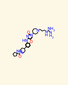 NC(N)NCCCN1CCCC(n2cc3c(nc2=O)Nc2cc(C4CCN(C(=O)C5(N)CCCC5)CC4)ccc2O3)CC1